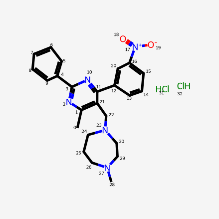 Cc1nc(-c2ccccc2)nc(-c2cccc([N+](=O)[O-])c2)c1CN1CCCN(C)CC1.Cl.Cl